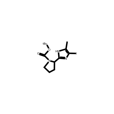 Cc1[nH]c(C2CCCN2C(=O)OC(C)(C)C)nc1I